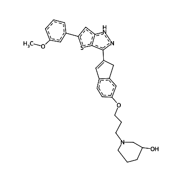 COc1cccc(-c2cc3[nH]nc(C4=Cc5ccc(OCCCN6CCCC(O)C6)cc5C4)c3s2)c1